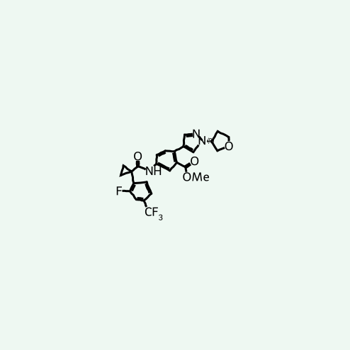 COC(=O)c1cc(NC(=O)C2(c3ccc(C(F)(F)F)cc3F)CC2)ccc1-c1cnn([C@@H]2CCOC2)c1